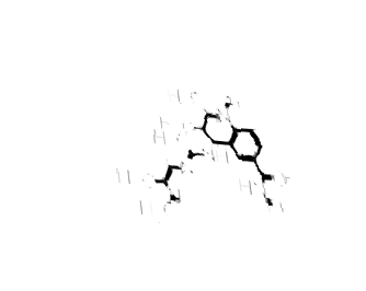 C=N/C(C)=C\N=C(/C)N[C@H]1c2cc(C(=O)NCC)ccc2N(C(C)=O)[C@@H](C)[C@@H]1C